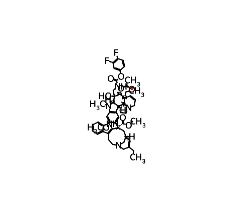 CCC1=C[C@@H]2CN(CCc3c([nH]c4ccccc34)[C@@](C(=O)OC)(c3cc4c(cc3OC)N(C)[C@H]3C(O)(CNC(=O)Oc5ccc(F)c(F)c5)[C@H](OC(C)=O)[C@]5(CC)C=CCN6CC[C@]43[C@@H]65)C2)C1